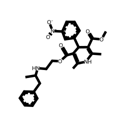 COC(=O)C1=C(C)NC(C)=C(C(=O)OCCNC(C)Cc2ccccc2)C1c1cccc([N+](=O)[O-])c1